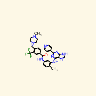 Cc1ccc(NC(=O)c2ccc(CN3CCN(C)CC3)c(C(F)(F)F)c2)cc1Nc1nc(-c2ccncc2)nc2[nH]cnc12